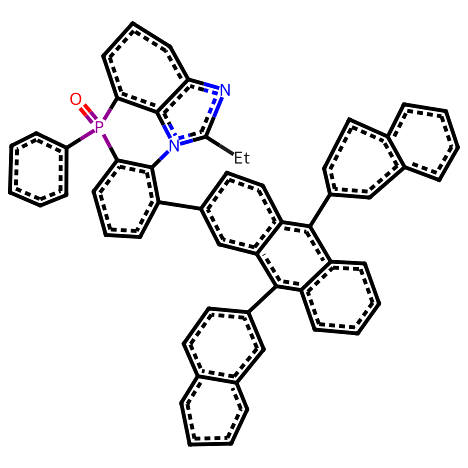 CCc1nc2cccc3c2n1-c1c(-c2ccc4c(-c5ccc6ccccc6c5)c5ccccc5c(-c5ccc6ccccc6c5)c4c2)cccc1P3(=O)c1ccccc1